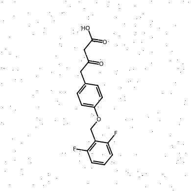 O=C(O)CC(=O)Cc1ccc(OCc2c(F)cccc2F)cc1